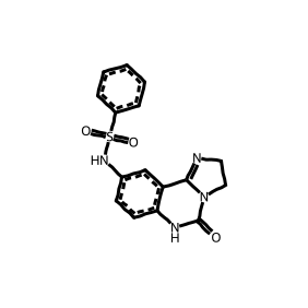 O=C1Nc2ccc(NS(=O)(=O)c3ccccc3)cc2C2=NCCN12